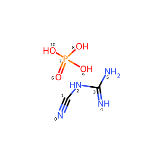 N#CNC(=N)N.O=P(O)(O)O